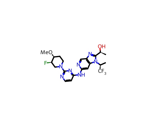 CO[C@H]1CCN(c2nccc(Nc3cc4c(cn3)nc([C@H](C)O)n4[C@@H](C)C(F)(F)F)n2)C[C@H]1F